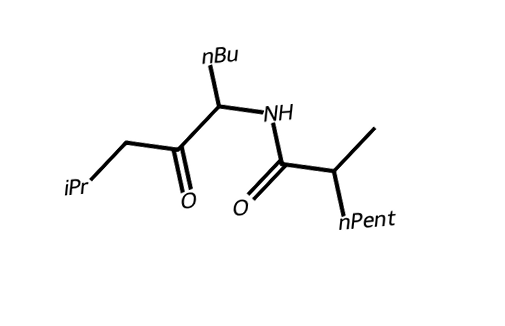 CCCCCC(C)C(=O)NC(CCCC)C(=O)CC(C)C